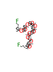 C[Si](C)(CCCF)O[Si](C)(C)O[Si](C)(C)O[Si](C)(C)O[Si](C)(C)O[Si](C)(C)O[Si](C)(C)O[Si](C)(C)O[Si](C)(C)O[Si](C)(C)O[Si](C)(C)CCCF